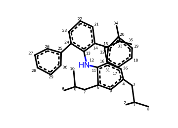 CC(C)Cc1cc(CC(C)C)c(Nc2c(-c3ccccc3)cccc2-c2ccccc2)c(CC(C)C)c1